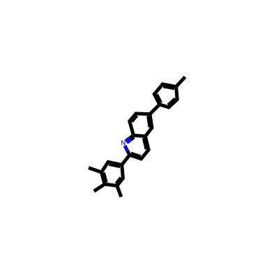 Cc1ccc(-c2ccc3nc(-c4cc(C)c(C)c(C)c4)ccc3c2)cc1